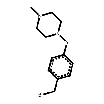 CN1CCN(Sc2ccc(CBr)cc2)CC1